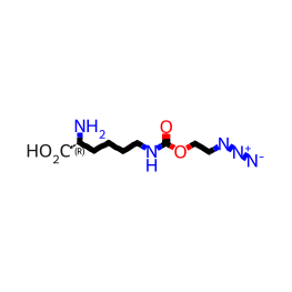 [N-]=[N+]=NCCOC(=O)NCCCC[C@@H](N)C(=O)O